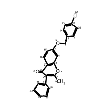 Cc1oc2cc(OCc3ccc(Cl)cc3)ccc2c(=O)c1-c1ccccc1